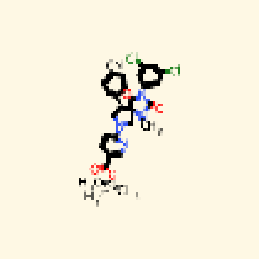 CN1C(=O)N(c2cc(Cl)cc(Cl)c2)C(=O)[C@]12CN(c1ccc(C(=O)O[Si](C)(C)C)cn1)C[C@H]2c1ccc(C#N)cc1